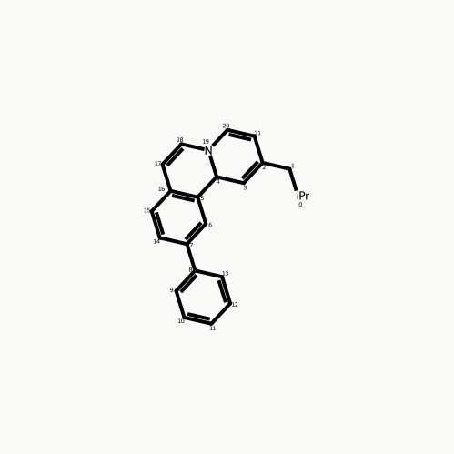 CC(C)CC1=CC2c3cc(-c4ccccc4)ccc3C=CN2C=C1